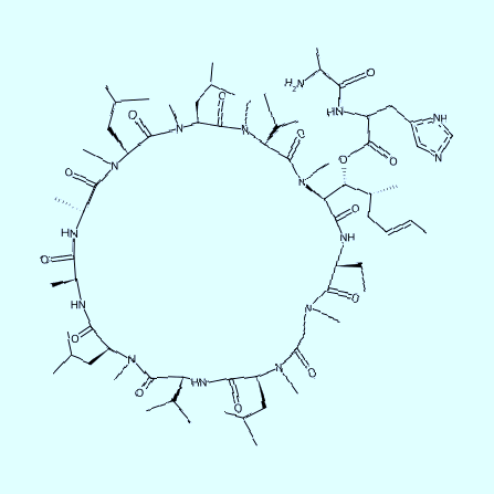 C/C=C/C[C@@H](C)[C@@H](OC(=O)C(Cc1cnc[nH]1)NC(=O)C(C)N)[C@H]1C(=O)N[C@@H](CC)C(=O)N(C)CC(=O)N(C)[C@@H](CC(C)C)C(=O)N[C@@H](C(C)C)C(=O)N(C)[C@@H](CC(C)C)C(=O)N[C@@H](C)C(=O)N[C@H](C)C(=O)N(C)[C@@H](CC(C)C)C(=O)N(C)[C@@H](CC(C)C)C(=O)N(C)[C@@H](C(C)C)C(=O)N1C